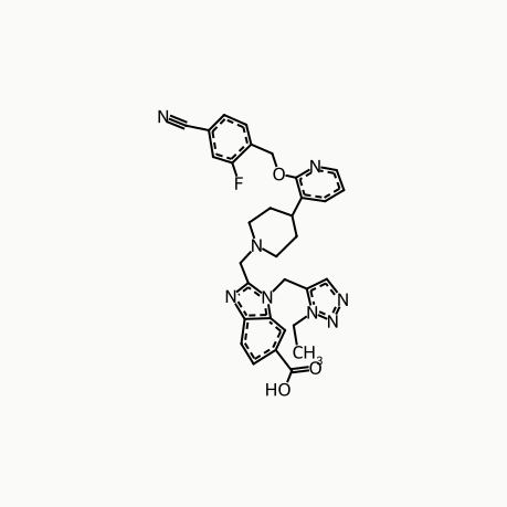 CCn1nncc1Cn1c(CN2CCC(c3cccnc3OCc3ccc(C#N)cc3F)CC2)nc2ccc(C(=O)O)cc21